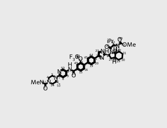 CNC(=O)N1CCN(c2ccc(NC(=O)c3ccc(-c4ccc(-c5c[nH]c([C@@H]6C[C@@H]7CCCC[C@@H]7N6C(=O)[C@@H](NC(=O)OC)C(C)C)n5)cc4)c(OC(F)(F)F)c3)cn2)[C@H](C)C1